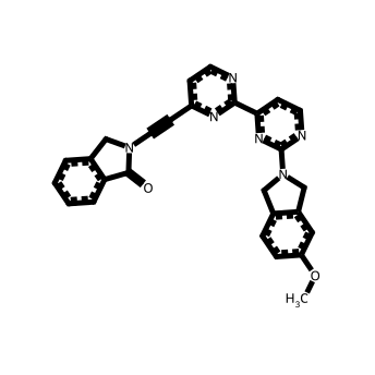 COc1ccc2c(c1)CN(c1nccc(-c3nccc(C#CN4Cc5ccccc5C4=O)n3)n1)C2